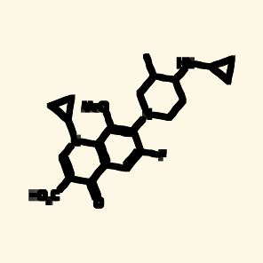 COc1c(N2CCC(NC3CC3)C(C)C2)c(F)cc2c(=O)c(C(=O)O)cn(C3CC3)c12